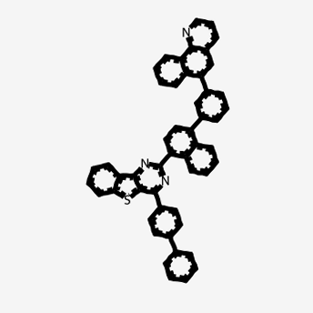 c1ccc(-c2ccc(-c3nc(-c4ccc(-c5cccc(-c6cc7cccnc7c7ccccc67)c5)c5ccccc45)nc4c3sc3ccccc34)cc2)cc1